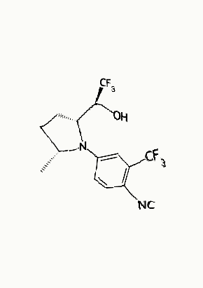 [C-]#[N+]c1ccc(N2[C@H](C)CC[C@@H]2[C@H](O)C(F)(F)F)cc1C(F)(F)F